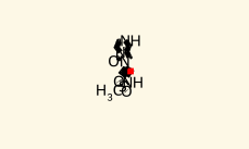 CS(=O)(=O)NC12CC(N3CC4CNCCN4C3=O)(C1)C2